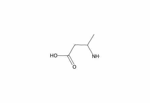 CC([NH])CC(=O)O